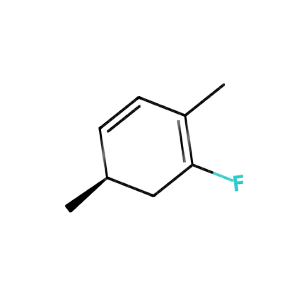 CC1=C(F)C[C@@H](C)C=C1